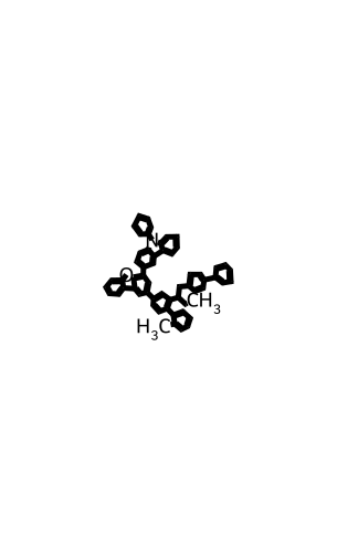 CCC(Cc1ccc(-c2ccccc2)cc1)c1cc(-c2cc(-c3ccc4c(c3)c3ccccc3n4-c3ccccc3)c3oc4ccccc4c3c2)ccc1-c1ccccc1C